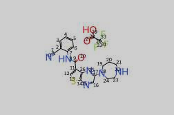 N#Cc1ccccc1NC(=O)c1csc2ncc(N3CCCNCC3)nc12.O=C(O)C(F)(F)F